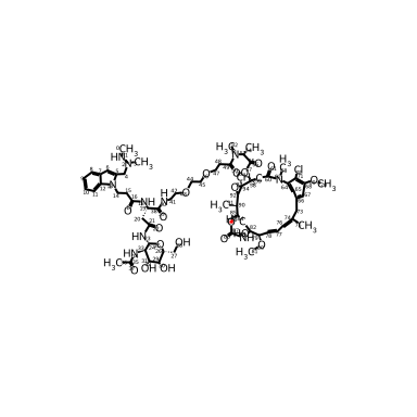 CNN(C)Cc1cc2ccccc2n1CCC(=O)N[C@@H](CC(=O)N[C@@H]1O[C@H](CO)[C@@H](O)[C@H](O)[C@H]1NC(C)=O)C(=O)NCCOCCOCCC(=O)N(C)[C@@H](C)C(=O)O[C@H]1CC(=O)N(C)c2cc(cc(OC)c2Cl)C/C(C)=C/C=C/[C@@H](OC)[C@@]2(O)C[C@H](OC(=O)N2)[C@@H](C)C2O[C@]21C